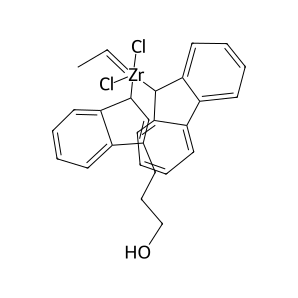 C[CH]=[Zr]([Cl])([Cl])([CH]1C=C(CCCO)c2ccccc21)[CH]1c2ccccc2-c2ccccc21